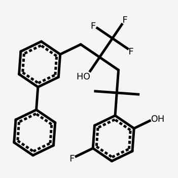 CC(C)(CC(O)(Cc1cccc(-c2ccccc2)c1)C(F)(F)F)c1cc(F)ccc1O